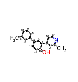 [CH2]c1cc(-c2cc(-c3cccc(C(F)(F)F)c3)ccc2O)ccn1